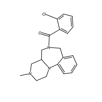 CN1CCN2c3ccccc3CN(C(=O)c3ccccc3Cl)CC2C1